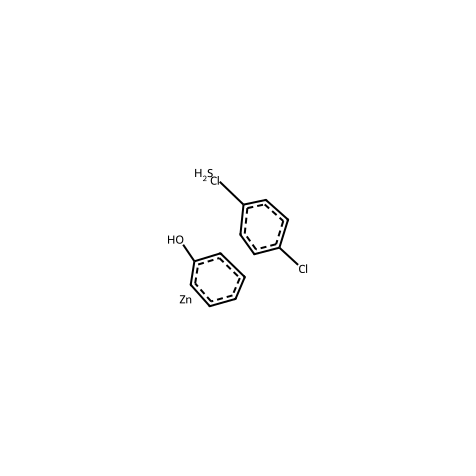 Clc1ccc(Cl)cc1.Oc1ccccc1.S.[Zn]